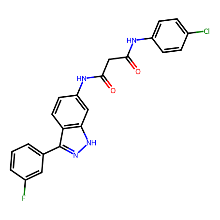 O=C(CC(=O)Nc1ccc2c(-c3cccc(F)c3)n[nH]c2c1)Nc1ccc(Cl)cc1